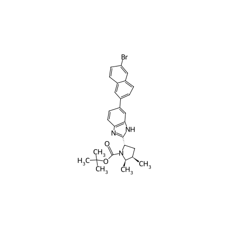 C[C@@H]1C[C@@H](c2nc3ccc(-c4ccc5cc(Br)ccc5c4)cc3[nH]2)N(C(=O)OC(C)(C)C)[C@@H]1C